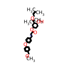 COCc1ccc(Oc2ccc(/C=C/C(=O)O[C@@H]3CCC(O)C(C(C)(C)OCC=C(C)C)C3)cc2)cc1